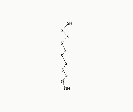 OOSSSSSSSSS